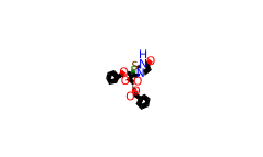 CC1(F)[C@@H](OC(=O)c2ccccc2)[C@@H](COC(=O)c2ccccc2)O[C@H]1n1ccc(=O)[nH]c1=S